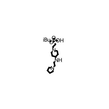 CCC(C)OP(=O)(O)CCN1CCC(NCCN2CCCC2)CC1